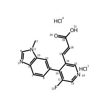 Cl.Cl.Cn1cnc2ccc(-c3c(F)cncc3C=CC(=O)O)cc21